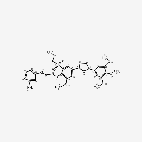 CCCS(=O)(=O)c1cc(C2CCC(c3cc(OC)c(OC)c(OC)c3)O2)cc(OC)c1OCCSc1cccc(N)c1